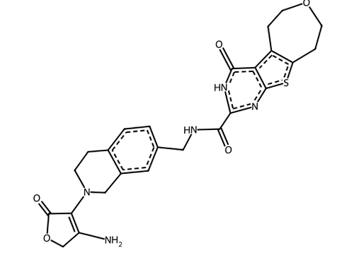 NC1=C(N2CCc3ccc(CNC(=O)c4nc5sc6c(c5c(=O)[nH]4)CCOCC6)cc3C2)C(=O)OC1